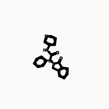 O=C(Nc1cccnc1)[C@@H](c1ccccc1)N1Cc2ccccc2C1=O